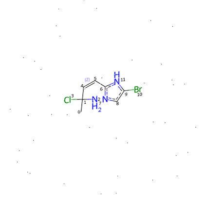 CC(N)(Cl)/C=C\c1ncc(Br)[nH]1